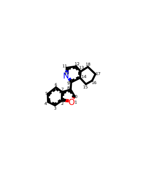 [c]1oc2ccccc2c1-c1nccc2c1CCCC2